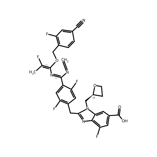 C=N/C(=N\C(OCc1ccc(C#N)cc1F)=C(/C)F)c1cc(F)c(Cc2nc3c(F)cc(C(=O)O)cc3n2C[C@@H]2CCO2)cc1F